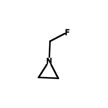 FCN1CC1